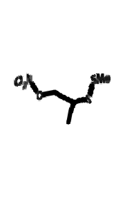 CSSC(C)CO[N+](=O)[O-]